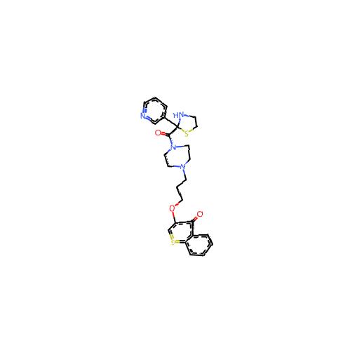 O=C(N1CCN(CCCOc2csc3ccccc3c2=O)CC1)C1(c2cccnc2)NCCS1